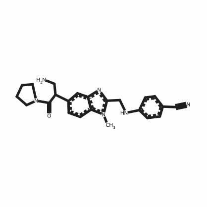 Cn1c(CNc2ccc(C#N)cc2)nc2cc(C(CN)C(=O)N3CCCC3)ccc21